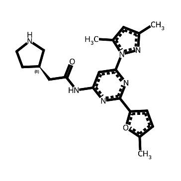 Cc1cc(C)n(-c2cc(NC(=O)C[C@H]3CCNC3)nc(-c3ccc(C)o3)n2)n1